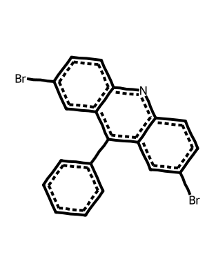 Brc1ccc2nc3ccc(Br)cc3c(-c3ccccc3)c2c1